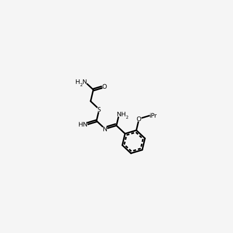 CC(C)Oc1ccccc1/C(N)=N/C(=N)SCC(N)=O